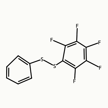 Fc1c(F)c(F)c(SSc2ccccc2)c(F)c1F